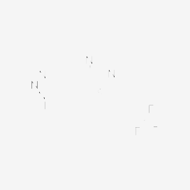 FC(F)(F)c1ccc(Sc2nccnc2-c2ccc3[nH]nnc3c2)cc1